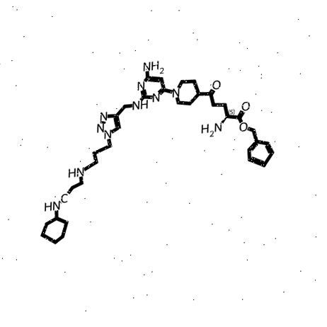 Nc1cc(N2CCC(C(=O)CC[C@H](N)C(=O)OCc3ccccc3)CC2)nc(NCc2cn(CCCNCCCNC3CCCCC3)nn2)n1